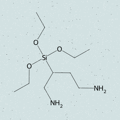 CCO[Si](OCC)(OCC)C(CN)CCN